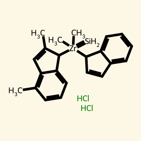 CC1=Cc2c(C)cccc2[CH]1[Zr]([CH3])([CH3])(=[SiH2])[CH]1C=Cc2ccccc21.Cl.Cl